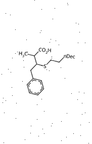 CCCCCCCCCCCCSC(Cc1ccccc1)C(C)C(=O)O